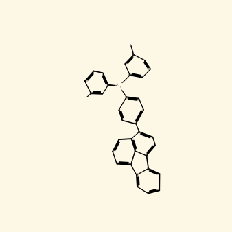 Cc1cccc(N(c2ccc(-c3ccc4c5c(cccc35)-c3ccccc3-4)cc2)c2cccc(C)c2)c1